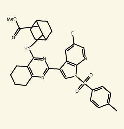 COC(=O)C1C2CCC(CC2)C1Nc1nc(-c2cn(S(=O)(=O)c3ccc(C)cc3)c3ncc(F)cc23)nc2c1CCCC2